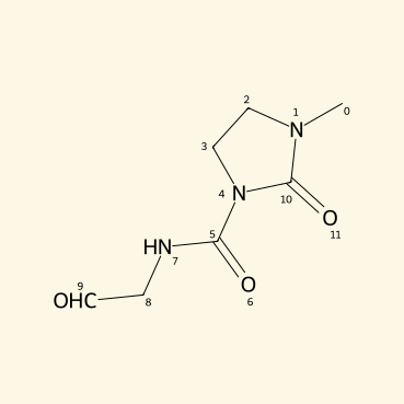 CN1CCN(C(=O)NCC=O)C1=O